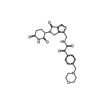 O=C1CCC(N2Cc3c(csc3CNC(=O)C(=O)c3ccc(CN4CCOCC4)cc3)C2=O)C(=O)N1